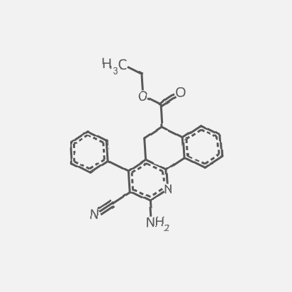 CCOC(=O)C1Cc2c(nc(N)c(C#N)c2-c2ccccc2)-c2ccccc21